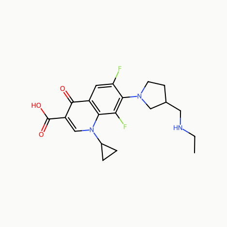 CCNCC1CCN(c2c(F)cc3c(=O)c(C(=O)O)cn(C4CC4)c3c2F)C1